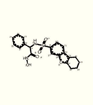 O=C(NO)C(NS(=O)(=O)c1ccc2c3c(oc2c1)CCCC3)c1ccccc1